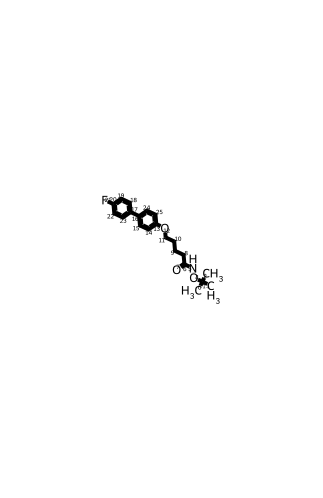 CC(C)(C)ONC(=O)CCCCOc1ccc(-c2ccc(F)cc2)cc1